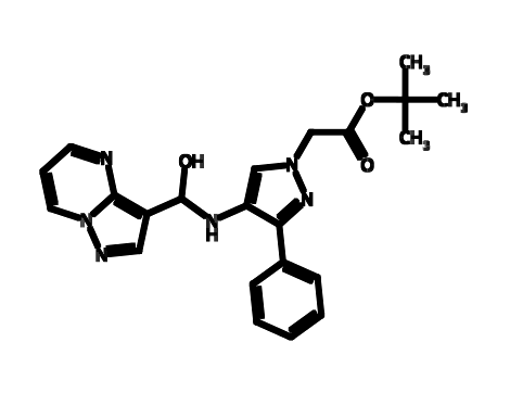 CC(C)(C)OC(=O)Cn1cc(NC(O)c2cnn3cccnc23)c(-c2ccccc2)n1